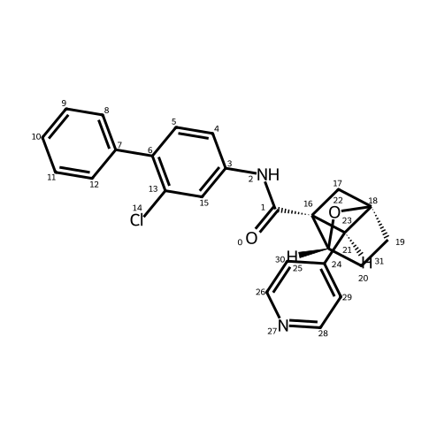 O=C(Nc1ccc(-c2ccccc2)c(Cl)c1)[C@@]12C[C@@]3(CC[C@H]1O3)[C@H]2c1ccncc1